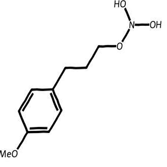 COc1ccc(CCCON(O)O)cc1